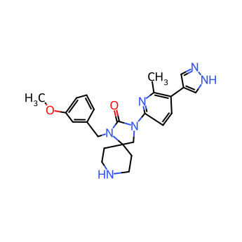 COc1cccc(CN2C(=O)N(c3ccc(-c4cn[nH]c4)c(C)n3)CC23CCNCC3)c1